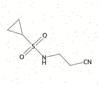 N#CCCNS(=O)(=O)C1CC1